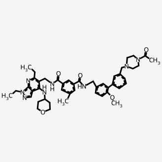 CCc1nc2c(cnn2CC)c(NC2CCOCC2)c1CNC(=O)c1cc(C)cc(C(=O)NCc2ccc(OC)c(-c3cccc(CN4CCN(C(C)=O)CC4)c3)c2)c1